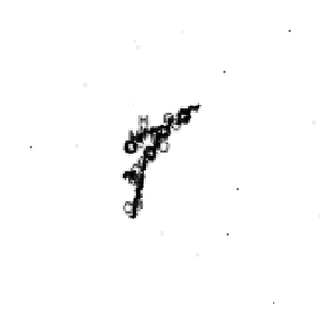 C=CC(=O)OCCCCOCC(COc1ccc(C(=O)Oc2ccc(C(=O)Oc3ccc(CCC)cc3)cc2/C=N/Nc2nc3ccccc3s2)cc1)OC(=O)C=C